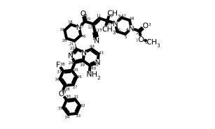 COC(=O)N1CCN(C(C)(C)/C=C(\C#N)C(=O)N2CCC[C@@H](c3nc(-c4ccc(Oc5ccccc5)cc4F)c4c(N)nccn34)C2)CC1